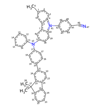 Cc1ccc2c(c1)c1cc(N(c3ccccc3)c3ccc(-c4ccc5c(c4)C(C)(C)c4ccccc4-5)cc3)ccc1n2-c1ccc(C#N)cc1